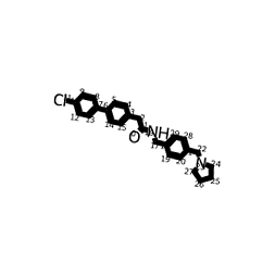 O=C(Cc1ccc(-c2ccc(Cl)cc2)cc1)NCc1ccc(CN2CCCC2)cc1